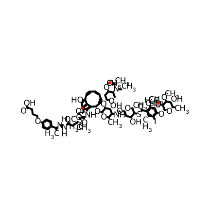 CCN(C(C)=O)C1COC(OC2C(O[C@H]3C#C/C=C\C#C[C@]4(O)CC(=O)C(NC(=O)OC)=C3/C4=C\CSSC(C)(C)CC(=O)N/N=C(\C)c3ccc(OCCCC(=O)O)cc3)OC(C)C(NOC3CC(O)C(SC(=O)c4c(C)c(I)c(OC5OC(C)C(O)C(OC)C5O)c(OC)c4OC)C(C)O3)C2O)CC1OC